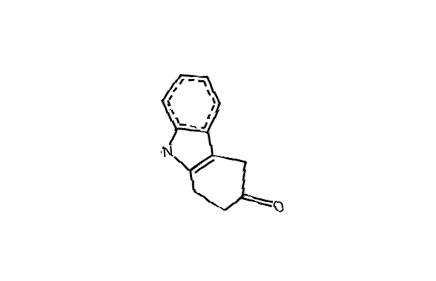 O=C1CCC2=C(C1)c1ccccc1[N]2